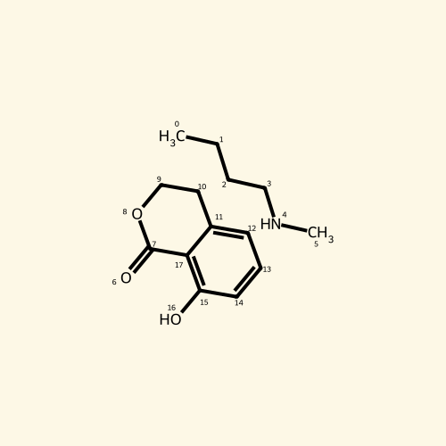 CCCCNC.O=C1OCCc2cccc(O)c21